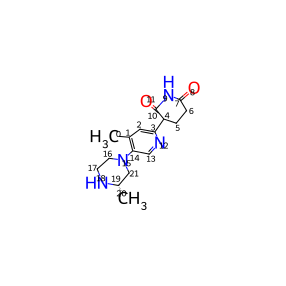 Cc1cc(C2CCC(=O)NC2=O)ncc1N1CCN[C@@H](C)C1